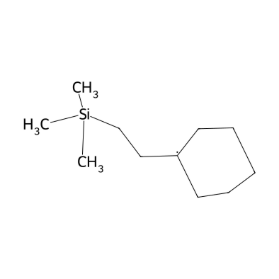 C[Si](C)(C)CC[C]1CCCCC1